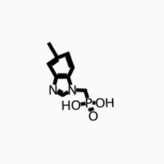 Cc1ccc2c(c1)ncn2CP(=O)(O)O